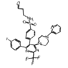 O=CCCNS(=O)(=O)c1ccc(-c2c(-c3ccc(F)cc3)nc(C(F)(F)F)nc2N2CCN(c3ccccn3)CC2)cc1